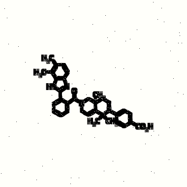 Cc1ccc2nc(-c3ccccc3C(=O)N3CC=C4C(C)(C)C(c5ccc(C(=O)O)cc5)=CC[C@]4(C)C3)[nH]c2c1C